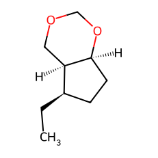 CC[C@@H]1CC[C@@H]2OCOC[C@H]12